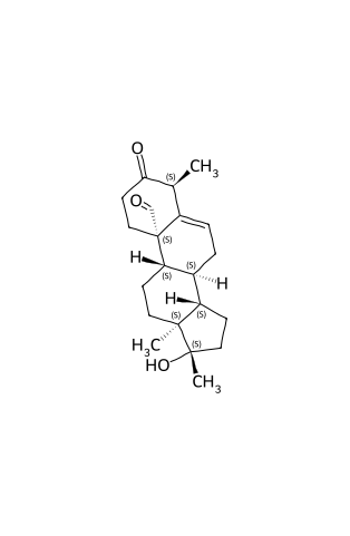 C[C@@H]1C(=O)CC[C@@]2(C=O)C1=CC[C@@H]1[C@@H]2CC[C@@]2(C)[C@H]1CC[C@]2(C)O